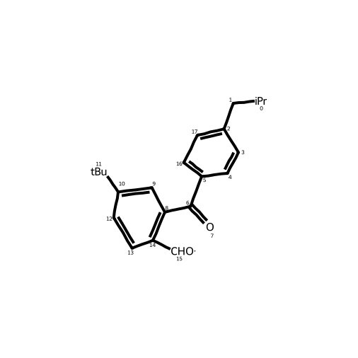 CC(C)Cc1ccc(C(=O)c2cc(C(C)(C)C)ccc2[C]=O)cc1